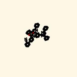 N#Cc1ccccc1-c1ccc2c(c1)c1ccccc1n2-c1ccc(-c2nc(-c3ccccc3)cc(-c3ccccc3)n2)cc1-c1nc(-c2ccccc2)cc(-c2ccccc2)n1